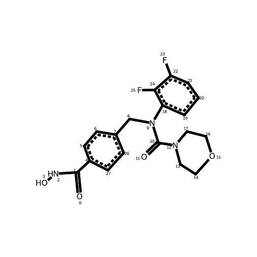 O=C(NO)c1ccc(CN(C(=O)N2CCOCC2)c2cccc(F)c2F)cc1